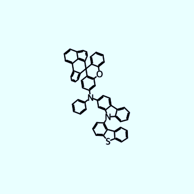 c1ccc(N(c2ccc3c(c2)Oc2ccccc2C32c3ccccc3-c3cccc4cccc2c34)c2ccc3c4ccccc4n(-c4cccc5sc6ccccc6c45)c3c2)cc1